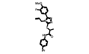 C=CCn1c(SC(C)C(=O)Nc2ccc(C(C)C)cc2)nnc1-c1ccc(OC)c(F)c1